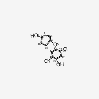 Oc1ccc(Oc2cc(Cl)c(O)cc2Cl)cc1